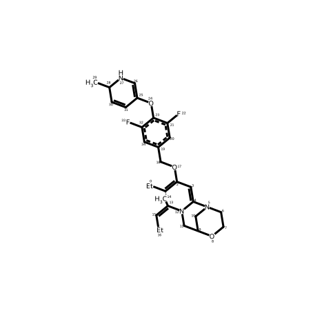 CC/C=C(/C=C1/N2CCOC(C2)CN1/C(C)=C\CC)OCc1cc(F)c(OC2=CNC(C)C=C2)c(F)c1